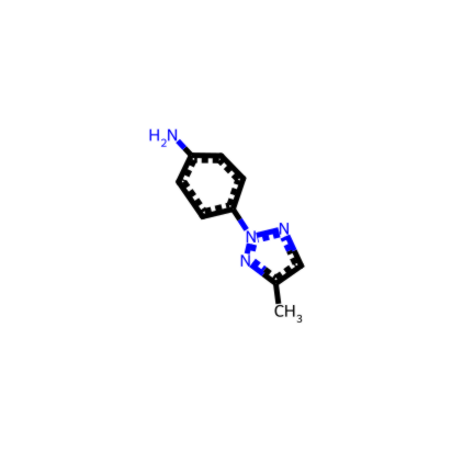 Cc1cnn(-c2ccc(N)cc2)n1